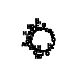 CC(=O)C[C@H]1NC(=O)N[C@H](CO)C(=O)NCCOCCOCC(=O)N[C@H](C(C)O)C(=O)N(C)NC1=O